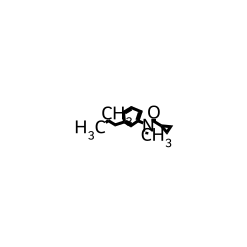 CC(C)Cc1cccc(N(C)C(=O)C2CC2)c1